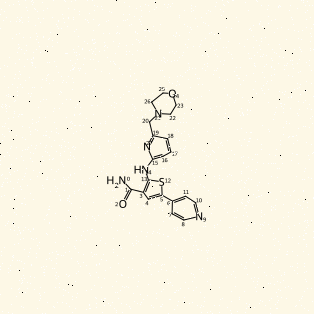 NC(=O)c1cc(-c2ccncc2)sc1Nc1cccc(CN2CCOCC2)n1